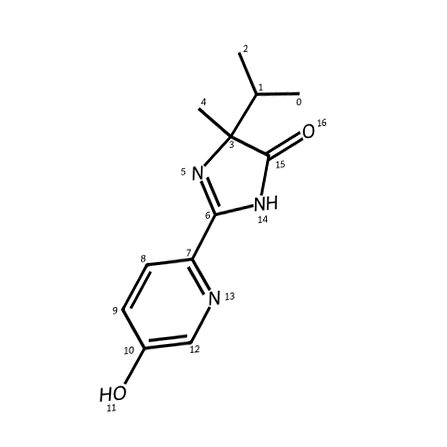 CC(C)C1(C)N=C(c2ccc(O)cn2)NC1=O